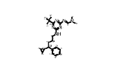 CN(C)C=Nc1nc(NCCCC(c2ccccc2)C2CC2)nc(C(C)(C)F)n1